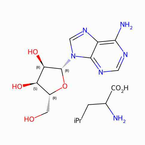 CC(C)CC(N)C(=O)O.Nc1ncnc2c1ncn2[C@@H]1O[C@H](CO)[C@@H](O)[C@H]1O